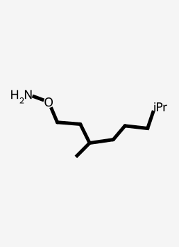 CC(C)CCCC(C)CCON